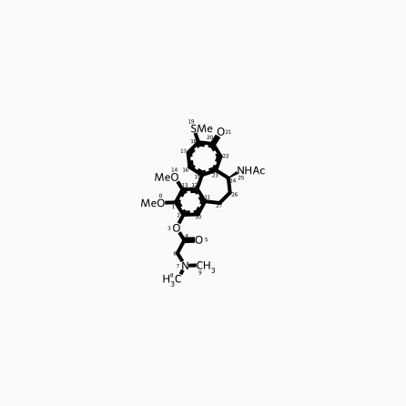 COc1c(OC(=O)CN(C)C)cc2c(c1OC)-c1ccc(SC)c(=O)cc1[C@@H](NC(C)=O)CC2